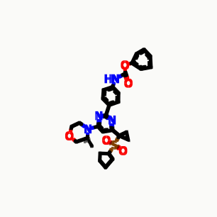 C[C@H]1COCCN1c1cc(C2(S(=O)(=O)C3CCCC3)CC2)nc(-c2ccc(NC(=O)Oc3ccccc3)cc2)n1